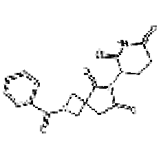 O=C1CCC(N2C(=O)CC3(CN(C(=O)c4ccccc4)C3)C2=O)C(=O)N1